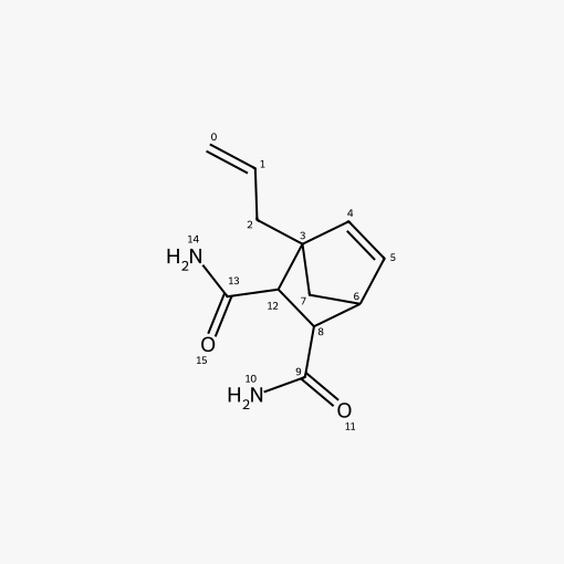 C=CCC12C=CC(C1)C(C(N)=O)C2C(N)=O